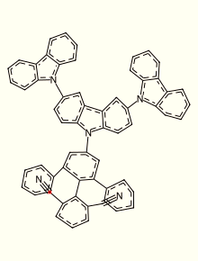 N#Cc1cccc(C#N)c1-c1c(-c2ccccc2)cc(-n2c3ccc(-n4c5ccccc5c5ccccc54)cc3c3cc(-n4c5ccccc5c5ccccc54)ccc32)cc1-c1ccccc1